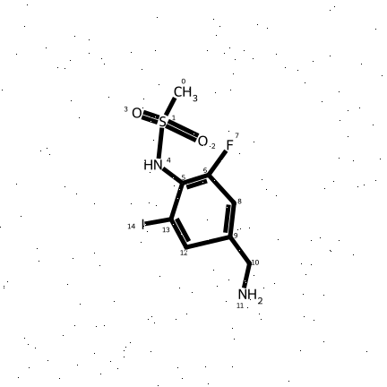 CS(=O)(=O)Nc1c(F)cc(CN)cc1I